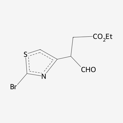 CCOC(=O)CC(C=O)c1csc(Br)n1